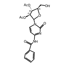 CC(=O)O[C@H]1[C@H](OC(C)=O)C(n2ccc(NC(=O)c3ccccc3)nc2=O)O[C@@H]1CO